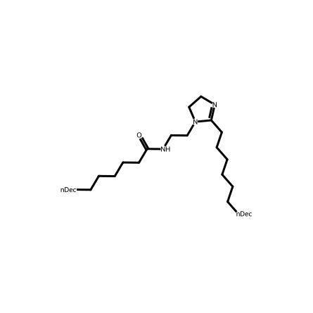 CCCCCCCCCCCCCCCCC1=NCCN1CCNC(=O)CCCCCCCCCCCCCCC